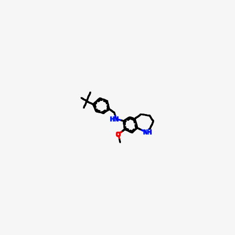 COc1cc2c(cc1NCc1ccc(C(C)(C)C)cc1)CCCCN2